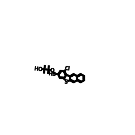 CC(C)(O)C(C)(C)OBc1cc(Cl)c2c(c1)sc1cc3ccccc3cc12